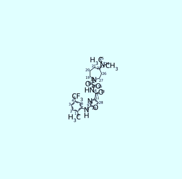 Cc1ccc(C(F)(F)F)cc1Nc1nc(C(=O)NS(=O)(=O)N2CCCC(N(C)C)CC2)co1